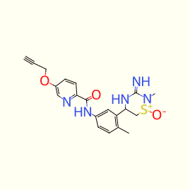 C#CCOc1ccc(C(=O)Nc2ccc(C)c(C3C[S+]([O-])N(C)C(=N)N3)c2)nc1